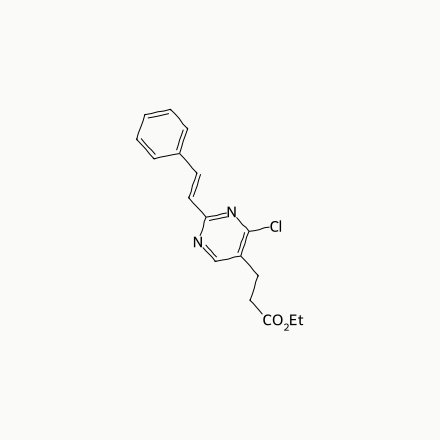 CCOC(=O)CCc1cnc(C=Cc2ccccc2)nc1Cl